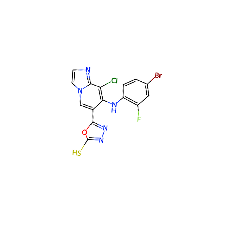 Fc1cc(Br)ccc1Nc1c(-c2nnc(S)o2)cn2ccnc2c1Cl